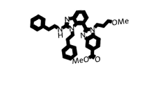 COCCCn1c(-c2cccc3nc(NCCc4ccccc4)n(CCc4ccccc4)c23)nc2cc(C(=O)OC)ccc21